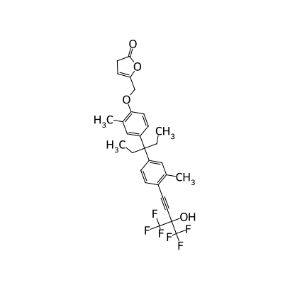 CCC(CC)(c1ccc(C#CC(O)(C(F)(F)F)C(F)(F)F)c(C)c1)c1ccc(OCC2=CCC(=O)O2)c(C)c1